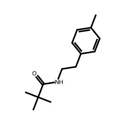 Cc1ccc(CCNC(=O)C(C)(C)C)cc1